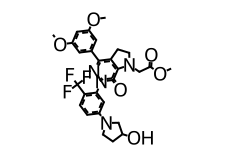 COC(=O)CN1CCc2c(-c3cc(OC)cc(OC)c3)nn(-c3cc(N4CCC(O)C4)ccc3C(F)(F)F)c(=O)c21